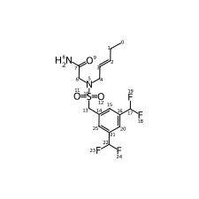 CCC=CCN(CC(N)=O)S(=O)(=O)Cc1cc(C(F)F)cc(C(F)F)c1